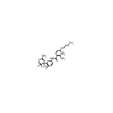 C=C(/C=N\C(C(=O)Nc1ccc(F)c([C@@]2(C)N=C(N)OCC2(F)F)n1)=C(N)N)OCCOC